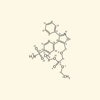 CCOP(=O)(COCc1onc(-c2ccccc2)c1-c1ccc(S(N)(=O)=O)cc1)OCC